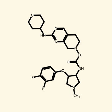 CN1CC(NC(=O)ON2CCc3cnc(NC4CCOCC4)nc3C2)C(Oc2ccc(F)c(F)c2)C1